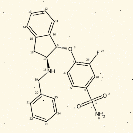 NS(=O)(=O)c1ccc(O[C@H]2c3ccccc3C[C@@H]2NCc2ccccc2)c(F)c1